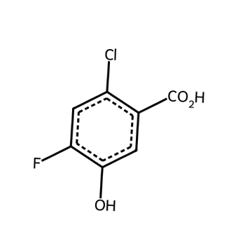 O=C(O)c1cc(O)c(F)cc1Cl